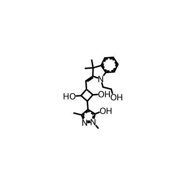 Cc1nn(C)c(O)c1C1C(O)C(C=C2N(CCO)c3ccccc3C2(C)C)C1O